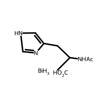 CC(=O)NC(Cc1c[nH]cn1)C(=O)O.[BiH3]